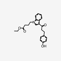 CCOC(=O)CCCn1cc(C(=O)CCc2ccc(O)cc2)c2ccccc21